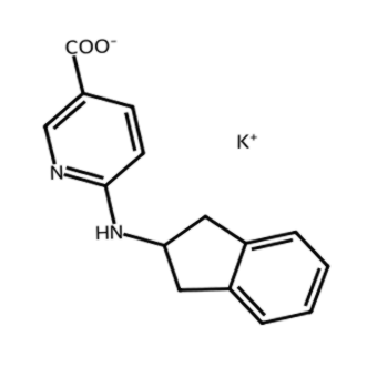 O=C([O-])c1ccc(NC2Cc3ccccc3C2)nc1.[K+]